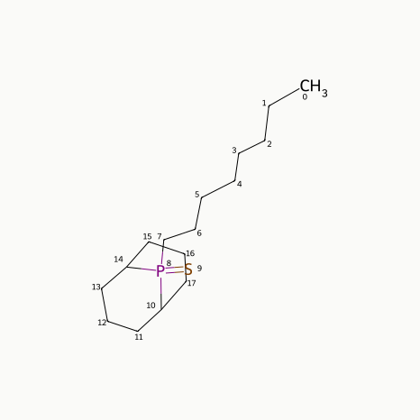 CCCCCCCCP1(=S)C2CCCC1CCC2